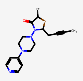 CC#CCC1SC(CC)C(=O)N1N1CCN(c2ccncc2)CC1